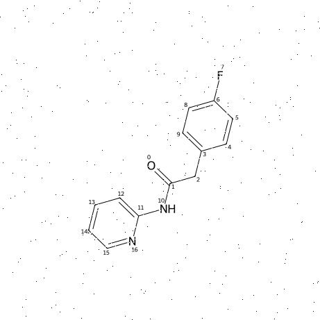 O=C(Cc1ccc(F)cc1)Nc1cc[c]cn1